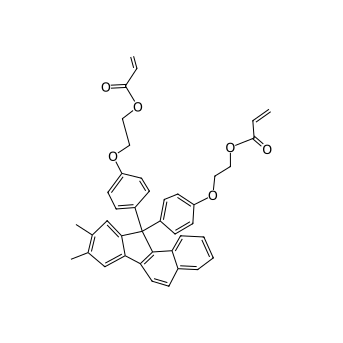 C=CC(=O)OCCOc1ccc(C2(c3ccc(OCCOC(=O)C=C)cc3)c3cc(C)c(C)cc3-c3ccc4ccccc4c32)cc1